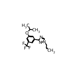 C=CCn1cnc(-c2cc(OC(C)C)cc(C(F)(F)F)c2)n1